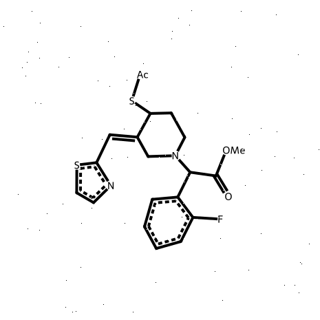 COC(=O)C(c1ccccc1F)N1CCC(SC(C)=O)C(=Cc2nccs2)C1